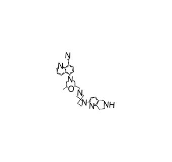 CC1CN(c2ccc(C#N)c3ncccc23)CC(CN2CC3(CCN3c3ccc4c(n3)CCNC4)C2)O1